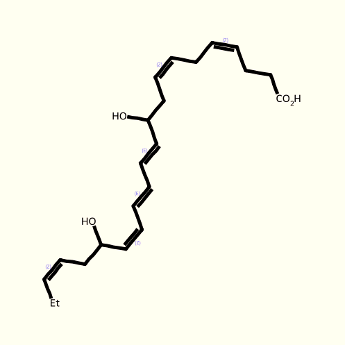 CC/C=C\CC(O)\C=C/C=C/C=C/C(O)C/C=C\C/C=C\CCC(=O)O